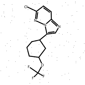 FC(F)(F)OC1CCCC(c2cnc3ccc(Cl)nn23)C1